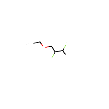 [CH2]CCCCCOCC(F)C(C)F